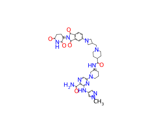 Cn1cc(Nc2nc(N3CCC[C@@H](NC(=O)C4CCN(CC5CN(c6ccc7c(c6)C(=O)N([C@H]6CCC(=O)NC6=O)C7=O)C5)CC4)C3)cnc2C(N)=O)cn1